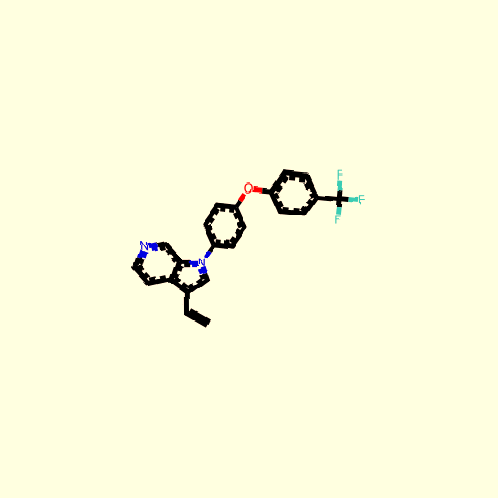 C=Cc1cn(-c2ccc(Oc3ccc(C(F)(F)F)cc3)cc2)c2cnccc12